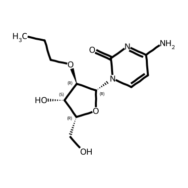 CCCO[C@@H]1[C@@H](O)[C@@H](CO)O[C@H]1n1ccc(N)nc1=O